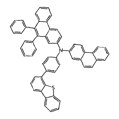 c1ccc(-c2c(-c3ccccc3)c3cc(N(c4ccc(-c5cccc6c5sc5ccccc56)cc4)c4ccc5c(ccc6ccccc65)c4)ccc3c3ccccc23)cc1